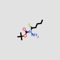 CCCCC(=S)N(N)C(=O)OC(C)(C)C